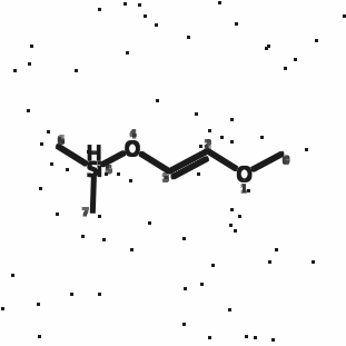 COC=CO[SiH](C)C